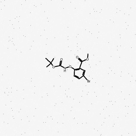 COC(=O)c1cc(Br)ccc1ONC(=O)OC(C)(C)C